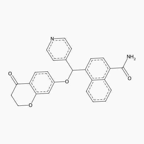 NC(=O)c1ccc(C(Oc2ccc3c(c2)OCCC3=O)c2ccncc2)c2ccccc12